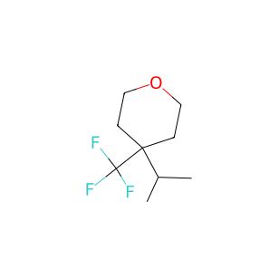 CC(C)C1(C(F)(F)F)CCOCC1